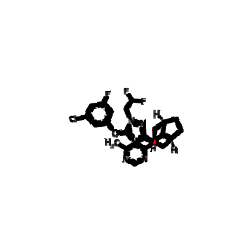 Cc1cc(N2C[C@H]3CC[C@@H](C2)C3Nc2nc(Oc3cc(F)cc(Cl)c3)n(CC(F)F)n2)ncn1